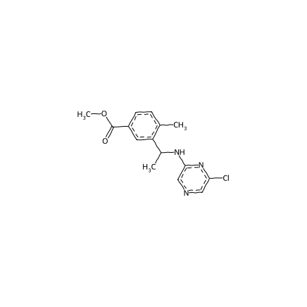 COC(=O)c1ccc(C)c(C(C)Nc2cncc(Cl)n2)c1